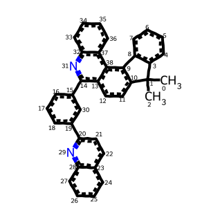 CC1(C)c2ccccc2-c2c1ccc1c(-c3cccc(-c4ccc5ccccc5n4)c3)nc3ccccc3c21